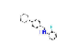 Fc1ccccc1NCc1ccc(C2CCCCC2)cc1